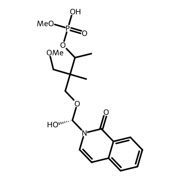 COCC(C)(CO[C@@H](O)n1ccc2ccccc2c1=O)C(C)OP(=O)(O)OC